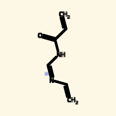 C=C/N=C\NC(=O)C=C